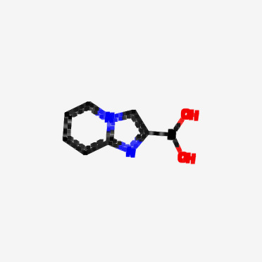 OB(O)c1cn2ccccc2n1